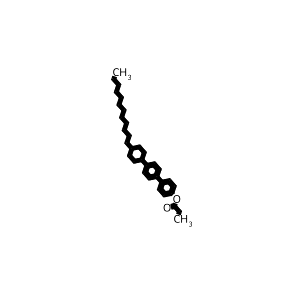 CCCCCCCCCCCCC1CCC(c2ccc(-c3ccc(OC(=O)CC)cc3)cc2)CC1